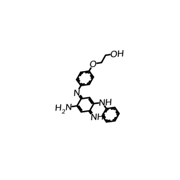 N=C1C=C(N)C(=Nc2ccc(OCCO)cc2)C=C1Nc1ccccc1